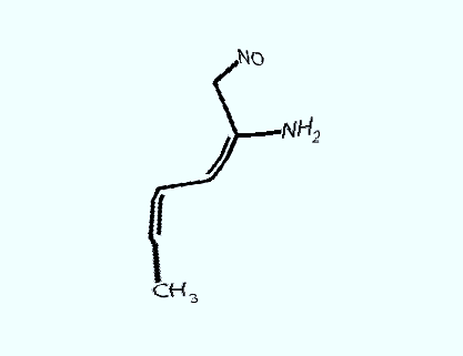 C/C=C\C=C(\N)CN=O